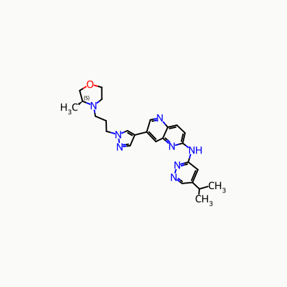 CC(C)c1cnnc(Nc2ccc3ncc(-c4cnn(CCCN5CCOC[C@@H]5C)c4)cc3n2)c1